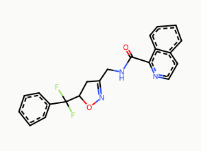 O=C(NCC1=NOC(C(F)(F)c2ccccc2)C1)c1nccc2ccccc12